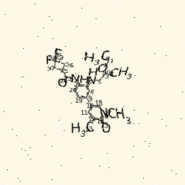 CCO[C@H](C)CNc1cc(-c2cc(C)c(=O)n(C)c2)ccc1NC(=O)C1CC(F)(F)C1